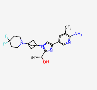 CC(C)[C@H](O)c1nc(-c2cnc(N)c(C(F)(F)F)c2)cn1C12CC(N3CCC(F)(F)CC3)(C1)C2